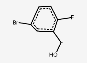 O[CH]c1cc(Br)ccc1F